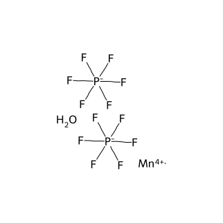 F[P-](F)(F)(F)(F)F.F[P-](F)(F)(F)(F)F.O.[Mn+4]